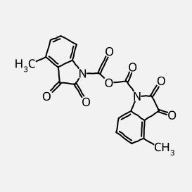 Cc1cccc2c1C(=O)C(=O)N2C(=O)OC(=O)N1C(=O)C(=O)c2c(C)cccc21